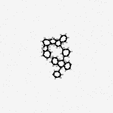 c1ccc(-c2c3ccccc3c(-c3cccc(-c4cc5c(sc6ccc7sc8ccccc8c7c65)c5ccccc45)c3)c3ccccc23)cc1